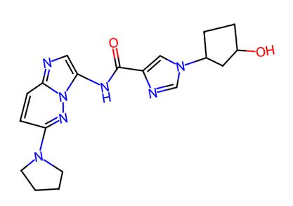 O=C(Nc1cnc2ccc(N3CCCC3)nn12)c1cn(C2CCC(O)C2)cn1